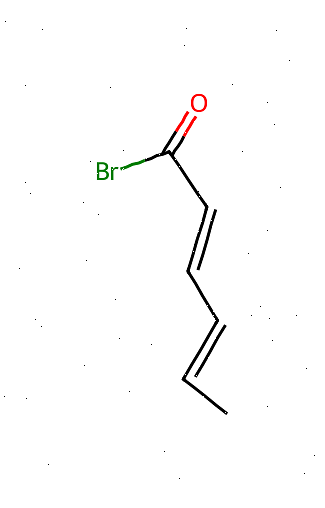 CC=CC=CC(=O)Br